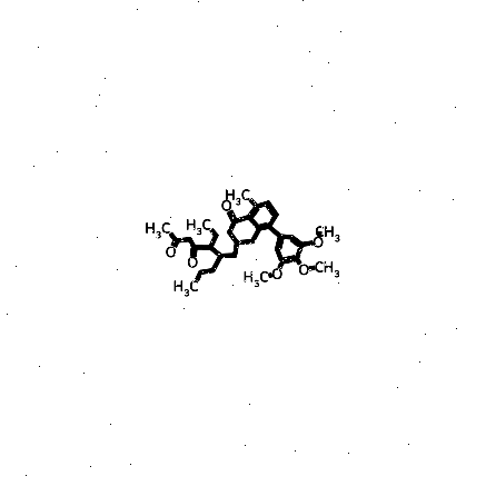 CCCC(CC1CC(=O)c2c(C)ccc(-c3cc(OC)c(OC)c(OC)c3)c2C1)C(CC)C(=O)CC(C)=O